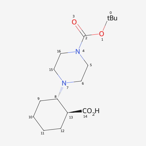 CC(C)(C)OC(=O)N1CCN([C@H]2CCCC[C@@H]2C(=O)O)CC1